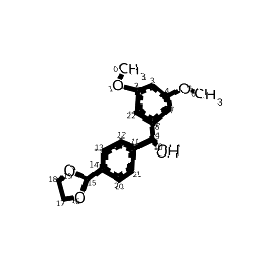 COc1cc(OC)cc(C(O)c2ccc(C3OCCO3)cc2)c1